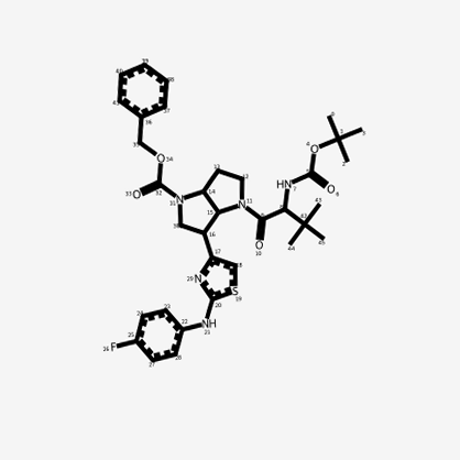 CC(C)(C)OC(=O)NC(C(=O)N1CCC2C1C(c1csc(Nc3ccc(F)cc3)n1)CN2C(=O)OCc1ccccc1)C(C)(C)C